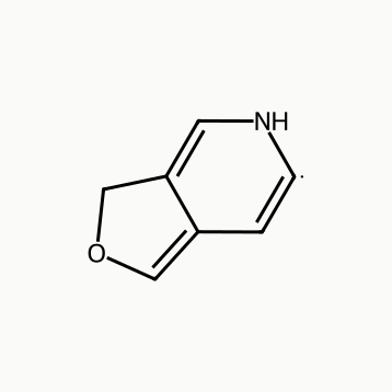 [C]1=CC2=COCC2=CN1